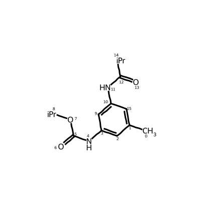 Cc1cc(NC(=O)OC(C)C)cc(NC(=O)C(C)C)c1